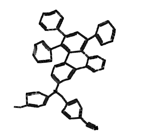 Cc1ccc(N(c2ccc(C#N)cc2)c2ccc3c(c2)c2ccccc2c2c(-c4ccccc4)cc(-c4ccccc4)c(-c4ccccc4)c32)cc1